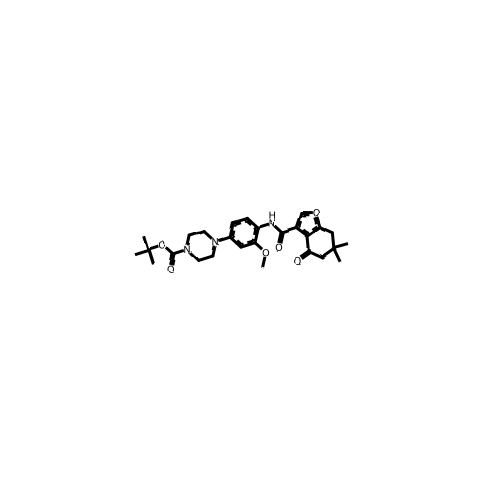 COc1cc(N2CCN(C(=O)OC(C)(C)C)CC2)ccc1NC(=O)c1coc2c1C(=O)CC(C)(C)C2